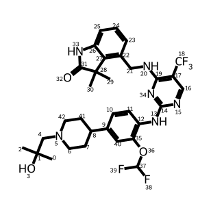 CC(C)(O)CN1CCC(c2ccc(Nc3ncc(C(F)(F)F)c(NCc4cccc5c4C(C)(C)C(=O)N5)n3)c(OC(F)F)c2)CC1